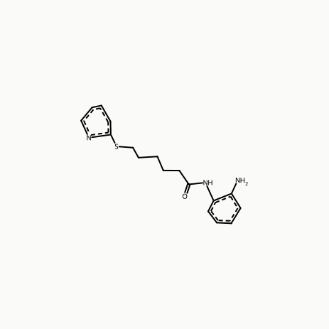 Nc1ccccc1NC(=O)CCCCCSc1ccccn1